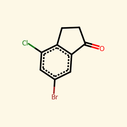 O=C1CCc2c(Cl)cc(Br)cc21